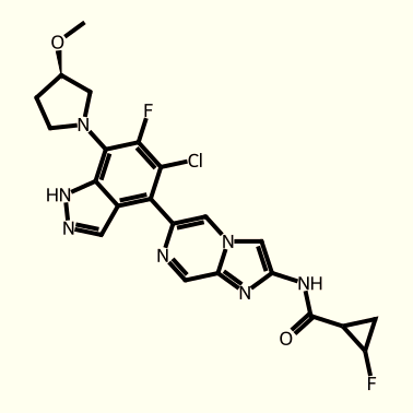 CO[C@@H]1CCN(c2c(F)c(Cl)c(-c3cn4cc(NC(=O)C5CC5F)nc4cn3)c3cn[nH]c23)C1